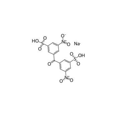 O=C(c1cc([N+](=O)[O-])cc(S(=O)(=O)O)c1)c1cc([N+](=O)[O-])cc(S(=O)(=O)O)c1.[Na]